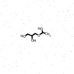 CC(O)OCC(O)CO